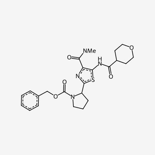 CNC(=O)c1nc(C2CCCN2C(=O)OCc2ccccc2)sc1NC(=O)C1CCOCC1